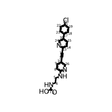 O=C(O)NCCNc1ccc(C#Cc2ccc(-c3ccc(Cl)cc3)cn2)cn1